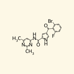 Cc1cc(NC(=O)c2cc(C(=O)c3c(F)cccc3Br)c[nH]2)nc(C)n1